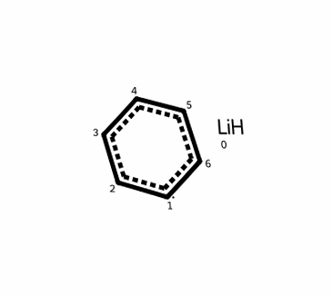 [LiH].[c]1ccccc1